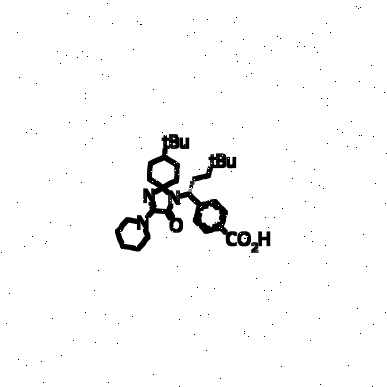 CC(C)(C)CC[C@H](c1ccc(C(=O)O)cc1)N1C(=O)C(N2CCCCC2)=NC12CCC(C(C)(C)C)CC2